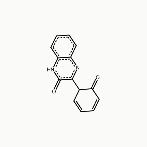 O=C1C=CC=CC1c1nc2ccccc2[nH]c1=O